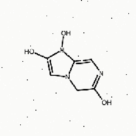 OC1=CN2CC(O)=NC=C2N1O